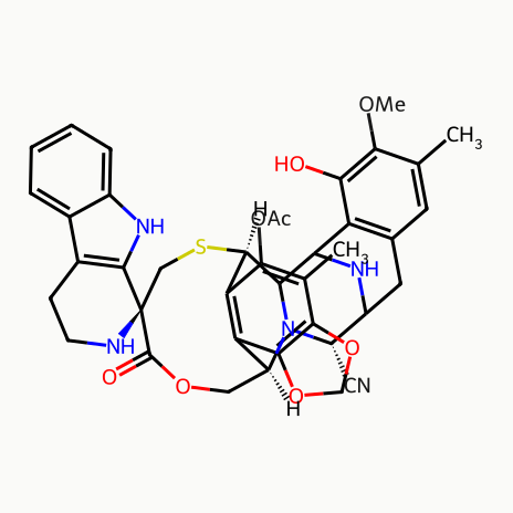 COc1c(C)cc2c(c1O)C1NC(C2)[C@H](C#N)N2C1[C@@H]1SC[C@]3(NCCc4c3[nH]c3ccccc43)C(=O)OC[C@H]2c2c3c(c(C)c(OC(C)=O)c21)OCO3